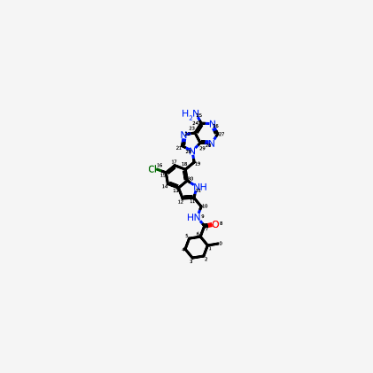 CC1CCCCC1C(=O)NCc1cc2cc(Cl)cc(Cn3cnc4c(N)ncnc43)c2[nH]1